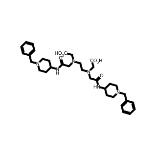 O=C(O)CN(CCN(CC(=O)O)CC(=O)NC1CCN(Cc2ccccc2)CC1)CC(=O)NC1CCN(Cc2ccccc2)CC1